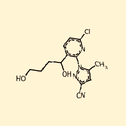 Cc1cc(C#N)nn1-c1nc(Cl)ccc1C(O)CCCO